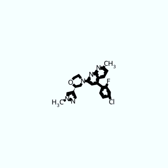 Cc1ccc2c(-c3ccc(Cl)cc3F)cc(N3CCO[C@@H](c4cnn(C)c4)C3)nc2n1